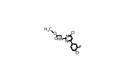 CCOC(=O)CNc1nc(Cl)cc(-c2ccc(Cl)c(F)c2)n1